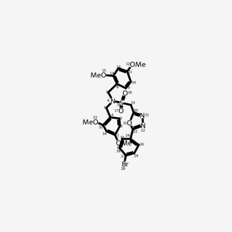 COc1ccc(CN(Cc2ccc(OC)cc2OC)S(=O)(=O)Cc2nnc(-c3ccc(Br)cc3)o2)c(OC)c1